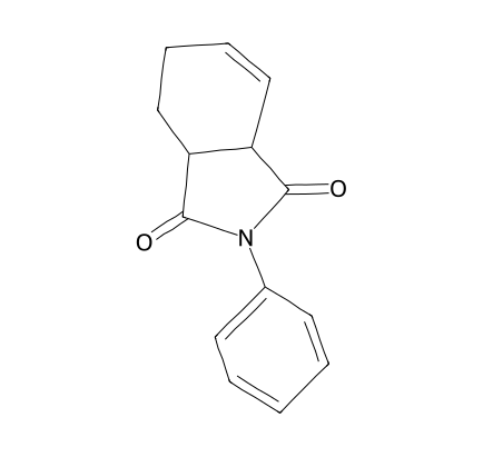 O=C1C2C=CCCC2C(=O)N1c1ccccc1